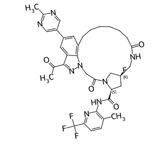 CC(=O)c1nn2c3c(cc(-c4cnc(C)nc4)cc13)CCCCCCC(=O)NC[C@]1(F)C[C@@H](C(=O)Nc3nc(C(F)(F)F)ccc3C)N(C1)C(=O)C2